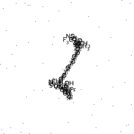 Cc1ncsc1-c1ccc(CNC(=O)[C@@H]2C[C@@H](O)CN2C(=O)[C@H](C(C)C)N2Cc3ccccc3C2=O)c(OCCOCCOCCCCOCCCCOCCOCCOc2ccc(N3C(=S)N(c4ccc(C#N)c(C(F)(F)F)c4)C(=O)C3(C)C)cc2)c1